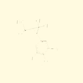 COc1c(F)cc(C2C(C(=O)O)C2(Cl)Cl)cc1Br